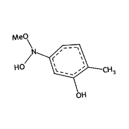 CON(O)c1ccc(C)c(O)c1